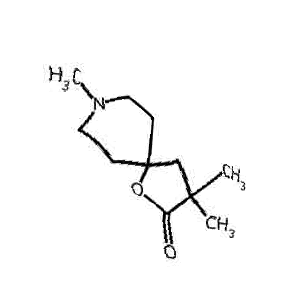 CN1CCC2(CC1)CC(C)(C)C(=O)O2